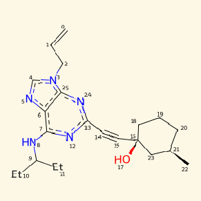 C=CCn1cnc2c(NC(CC)CC)nc(C#C[C@]3(O)CCC[C@@H](C)C3)nc21